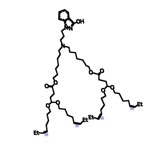 CC/C=C\CCCCOC(CCC(=O)OCCCCCCCN(CCCCCCCOC(=O)CCC(OCCCC/C=C\CC)OCCCC/C=C\CC)CCCn1nc(O)c2ccccc21)OCCCC/C=C\CC